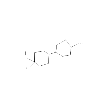 CCCCC1CCC(C2CCC(CCC)(OCC)CC2)CC1